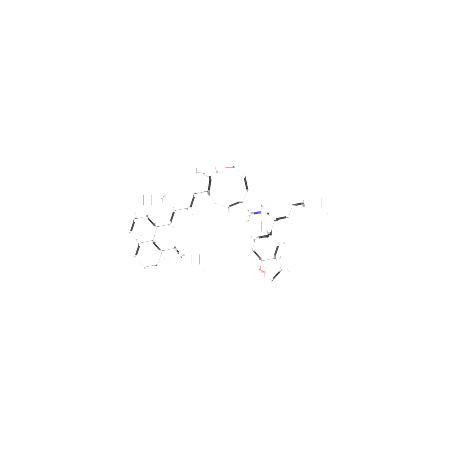 C=C\C=C(/N=C(C)/C1=C/CC(/C=C/C(C)=C/c2cccc3c2=C(C=C)CCC=3)=C(/CC)OC/C=C\1)c1ccc2occc2c1